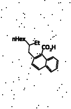 CCCCCCC(CC)Cc1ccc2ccccc2c1C(=O)O